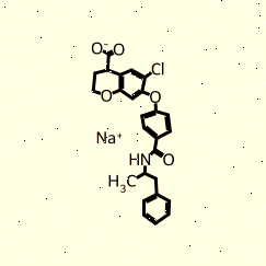 CC(Cc1ccccc1)NC(=O)c1ccc(Oc2cc3c(cc2Cl)C(C(=O)[O-])CCO3)cc1.[Na+]